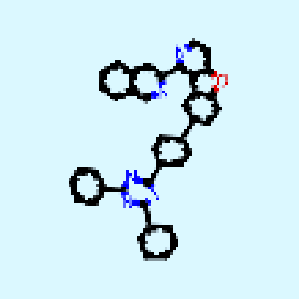 c1ccc(-c2nc(-c3ccccc3)nc(-c3ccc(-c4ccc5oc6ccnc(-c7cc8ccccc8cn7)c6c5c4)cc3)n2)cc1